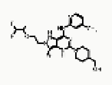 CCC1=C2NC(N3CCC(CO)CC3)=NC(Nc3cc(C)ccn3)=C2NN1CCOC(F)C(F)F